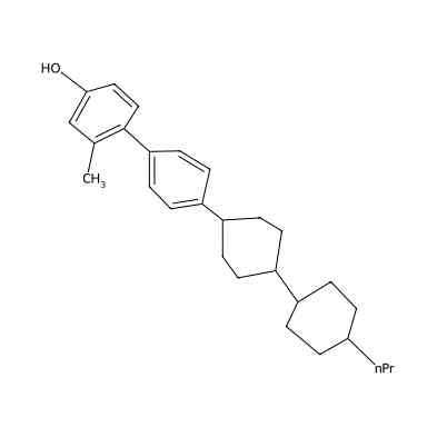 CCCC1CCC(C2CCC(c3ccc(-c4ccc(O)cc4C)cc3)CC2)CC1